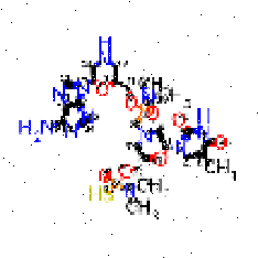 Cc1cn([C@H]2CN(CP(=O)(OC[C@@H]3CNC[C@H](n4cnc5c(N)ncnc54)O3)N(C)C)C[C@@H](COP(=O)(S)N(C)C)O2)c(=O)[nH]c1=O